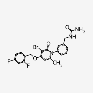 Cc1cc(OCc2ccc(F)cc2F)c(Br)c(=O)n1-c1cccc(CNC(N)=O)c1